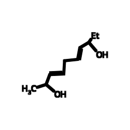 CCC(O)C=CCC=CC(C)O